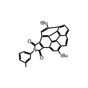 Cc1cccc(-n2c(=O)c3c4cc(C(C)(C)C)c5ccc6ccc7c(C(C)(C)C)cc(c3c2=O)c2c7c6c5c42)c1